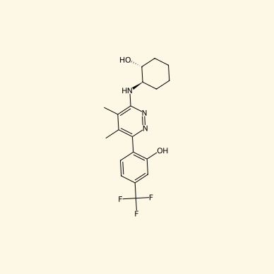 Cc1c(N[C@@H]2CCCC[C@H]2O)nnc(-c2ccc(C(F)(F)F)cc2O)c1C